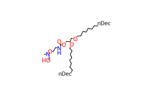 CCCCCCCCCCCCCCCCCCOCC(COC(=O)NCCON(C)CO)OCCCCCCCCCCCCCCCCCC